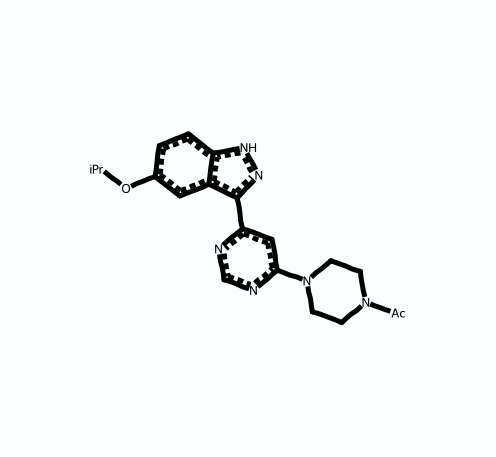 CC(=O)N1CCN(c2cc(-c3n[nH]c4ccc(OC(C)C)cc34)ncn2)CC1